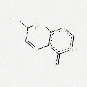 Cc1nc[nH]c(=O)c1/N=C\C(C)C